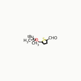 CC(C)(C)[Si](C)(C)OCc1ccc(C=O)s1